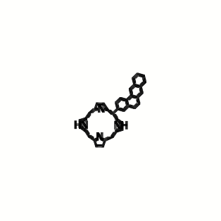 C1=Cc2cc3ccc([nH]3)c(-c3ccc4c(ccc5cc6ccccc6cc54)c3)c3nc(cc4ccc(cc1n2)[nH]4)C=C3